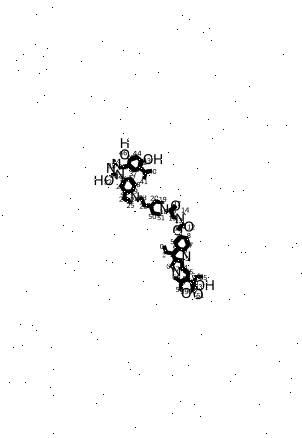 CCc1c2c(nc3ccc(OC(=O)N(C)CC(=O)N4CCC(CCn5ccc6cc(-n7c(O)nnc7-c7cc(C(C)C)c(O)cc7O)ccc65)CC4)cc13)C1=CC3=C(COC(=O)[C@]3(O)CC)CN1C2